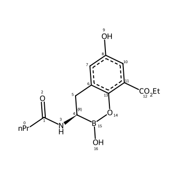 CCCC(=O)N[C@H]1Cc2cc(O)cc(C(=O)OCC)c2OB1O